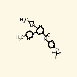 Cc1ccc(-c2cc(C(=O)Nc3ccc(OC(F)(F)F)cc3)cnc2N2CC(C)C2)cn1